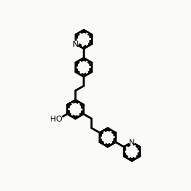 Oc1cc(CCc2ccc(-c3ccccn3)cc2)cc(CCc2ccc(-c3ccccn3)cc2)c1